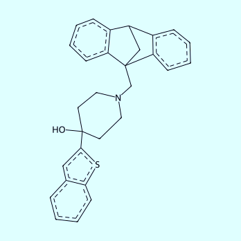 OC1(c2cc3ccccc3s2)CCN(CC23CC(c4ccccc42)c2ccccc23)CC1